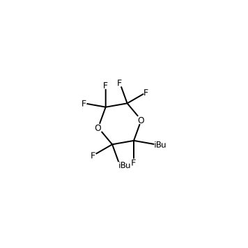 CCC(C)C1(F)OC(F)(F)C(F)(F)OC1(F)C(C)CC